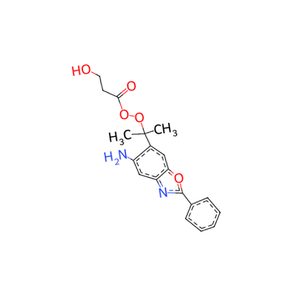 CC(C)(OOC(=O)CCO)c1cc2oc(-c3ccccc3)nc2cc1N